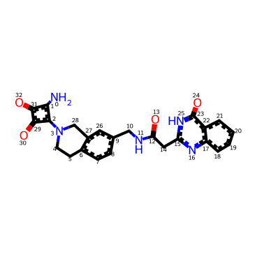 Nc1c(N2CCc3ccc(CNC(=O)Cc4nc5ccccc5c(=O)[nH]4)cc3C2)c(=O)c1=O